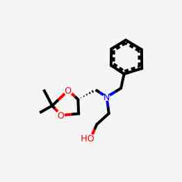 CC1(C)OC[C@@H](CN(CCO)Cc2ccccc2)O1